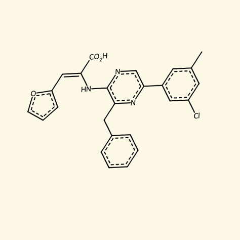 Cc1cc(Cl)cc(-c2cnc(N/C(=C\c3ccco3)C(=O)O)c(Cc3ccccc3)n2)c1